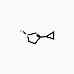 CC(C)N1CCC(C2CC2)=N1